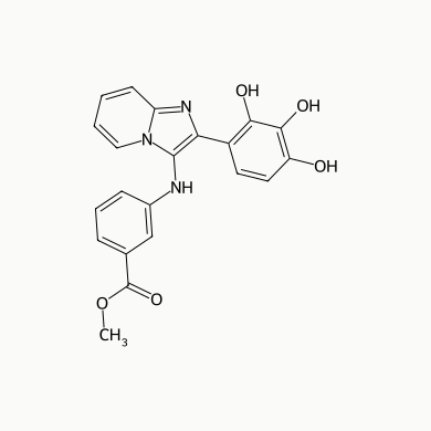 COC(=O)c1cccc(Nc2c(-c3ccc(O)c(O)c3O)nc3ccccn23)c1